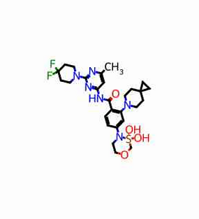 Cc1cc(NC(=O)c2ccc(N3CCOCS3(O)O)cc2N2CCC3(CC2)CC3)nc(N2CCC(F)(F)CC2)n1